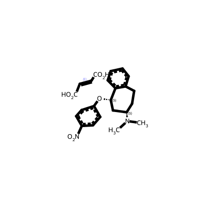 CN(C)[C@H]1CCc2ccccc2[C@@H](Oc2ccc([N+](=O)[O-])cc2)C1.O=C(O)/C=C/C(=O)O